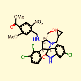 COC(=O)c1cc([N+](=O)[O-])c(CN[C@@H]2[C@H](CO)N(CC3CC3)[C@@]3(C(=O)Nc4cc(Cl)ccc43)[C@H]2c2cccc(Cl)c2F)cc1OC